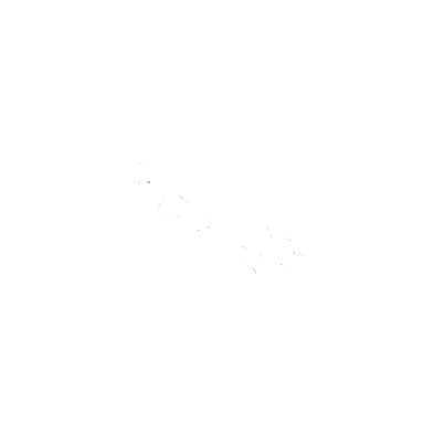 Cn1c(=O)c2c(ncn2CCC(=O)Nc2ccc(-c3nccs3)cc2)n(C)c1=O